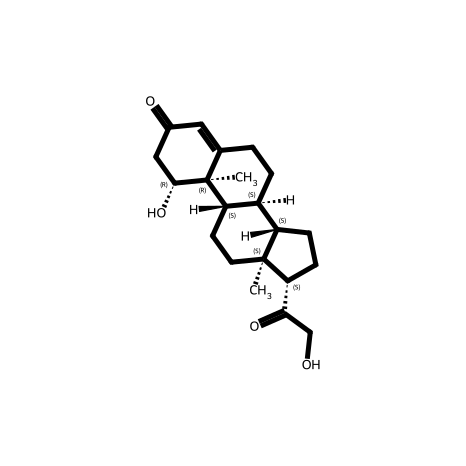 C[C@]12CC[C@H]3[C@@H](CCC4=CC(=O)C[C@@H](O)[C@@]43C)[C@@H]1CC[C@@H]2C(=O)CO